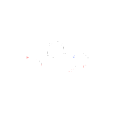 O=C(O)c1cccc(N2CCOC2=O)c1